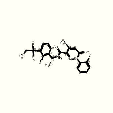 C[C@@H](NC(=O)c1nn(-c2ccccc2F)c(=O)cc1N)c1cccc(C(F)(F)CO)c1F